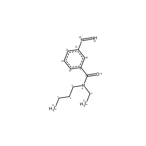 CCCCN(CC)C(=O)c1cccc(N=N)c1